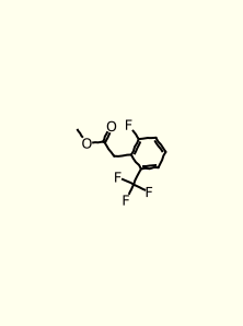 COC(=O)Cc1c(F)cccc1C(F)(F)F